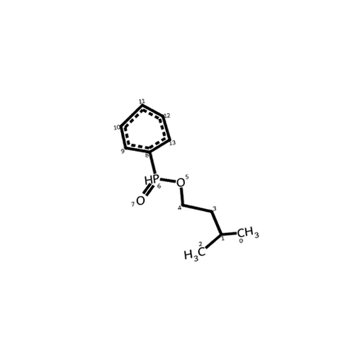 CC(C)CCO[PH](=O)c1ccccc1